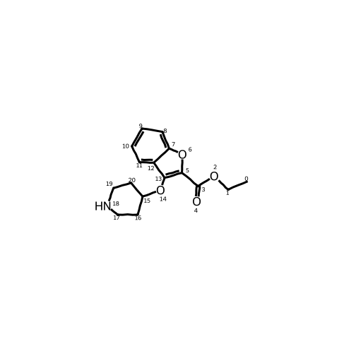 CCOC(=O)c1oc2ccccc2c1OC1CCNCC1